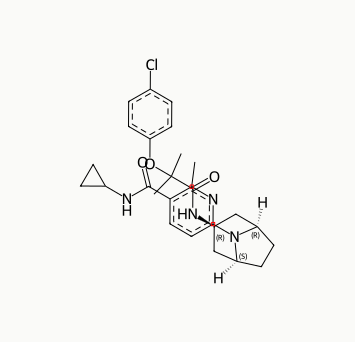 Cc1nc(N2[C@@H]3CC[C@H]2C[C@@H](NC(=O)C(C)(C)Oc2ccc(Cl)cc2)C3)ccc1C(=O)NC1CC1